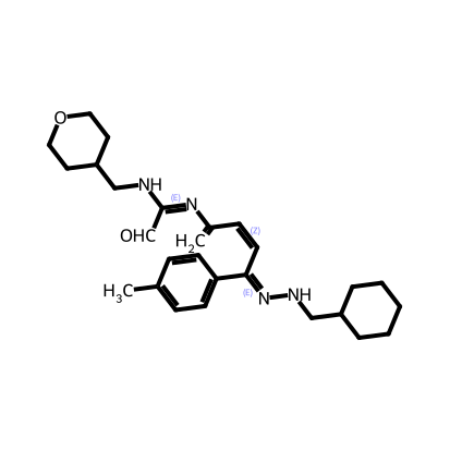 C=C(/C=C\C(=N/NCC1CCCCC1)c1ccc(C)cc1)/N=C(\C=O)NCC1CCOCC1